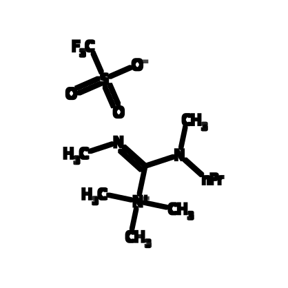 CCCN(C)C(=NC)[N+](C)(C)C.O=S(=O)([O-])C(F)(F)F